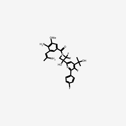 COc1cc(C(=O)N2CC(O)(c3cc(C(C)(C)O)c(F)c(-c4ccc(F)cc4)n3)C2(F)F)cc(/C=C(/C)N)c1N